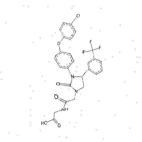 O=C(O)CNC(=O)CN1CC(c2cccc(C(F)(F)F)c2)N(c2ccc(Oc3ccc(Cl)cc3)cc2)C1=O